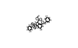 COC(=O)C1CN(S(=O)(=O)c2ccccc2)c2cccc(OCc3ccccc3)c21